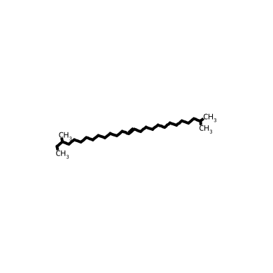 CCC(C)CCCCCCCCCCC=CCCCCCCCCCCC(C)C